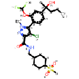 CCn1nc(C(=O)NCC2CCC(S(C)(=O)=O)CC2)c(Cl)c1-c1ccc(C(C)(O)CCC(F)(F)F)cc1OC(F)F